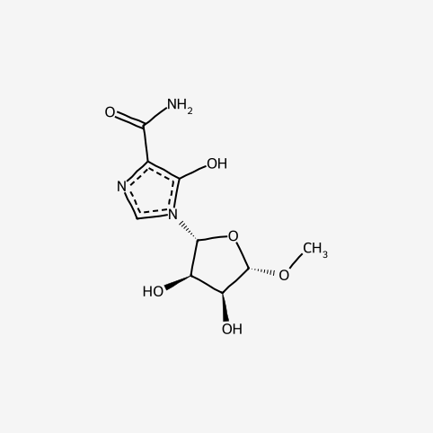 CO[C@H]1O[C@@H](n2cnc(C(N)=O)c2O)[C@H](O)[C@@H]1O